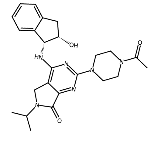 CC(=O)N1CCN(c2nc(N[C@@H]3c4ccccc4C[C@@H]3O)c3c(n2)C(=O)N(C(C)C)C3)CC1